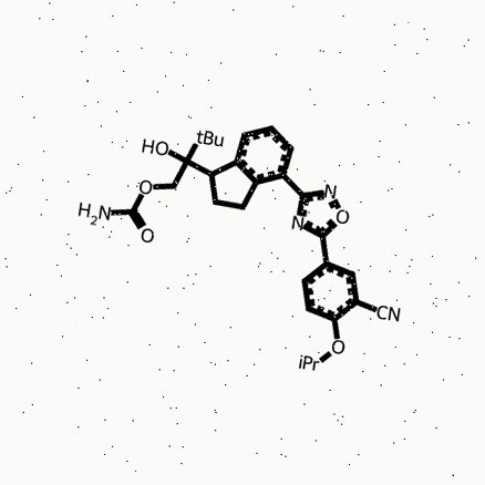 CC(C)Oc1ccc(-c2nc(-c3cccc4c3CCC4C(O)(COC(N)=O)C(C)(C)C)no2)cc1C#N